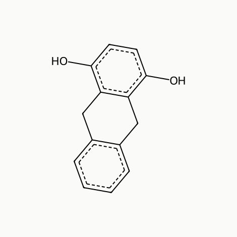 Oc1ccc(O)c2c1Cc1ccccc1C2